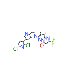 Cc1c(N2CCc3ncc(-c4ccc(Cl)nc4Cl)cc3C2)nn2c(=O)cc(C(F)F)nc2c1C